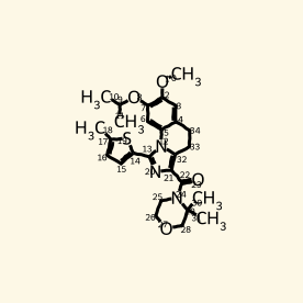 COc1cc2c(cc1OC(C)C)-n1c(-c3ccc(C)s3)nc(C(=O)N3CCOCC3(C)C)c1CC2